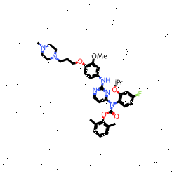 COc1cc(Nc2nccc(N(C(=O)Oc3c(C)cccc3C)c3ccc(F)cc3OC(C)C)n2)ccc1OCCCN1CCN(C)CC1